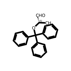 C[C@@H](C=O)OC(c1ccccc1)(c1ccccc1)c1ccccc1